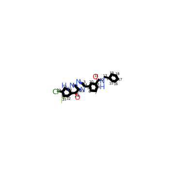 Nc1ncc(-c2cccc(C(=O)NCc3ccccc3)c2)nc1C(=O)c1ccc(Cl)c(F)c1